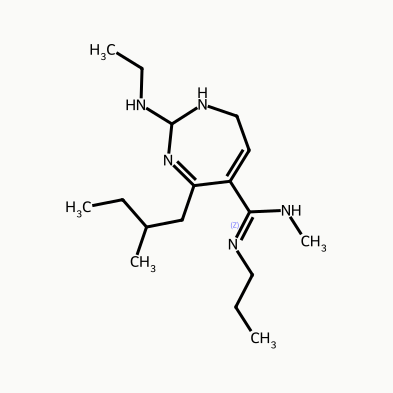 CCC/N=C(\NC)C1=CCNC(NCC)N=C1CC(C)CC